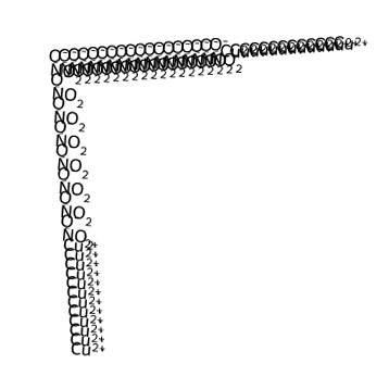 O=[N+]([O-])[O-].O=[N+]([O-])[O-].O=[N+]([O-])[O-].O=[N+]([O-])[O-].O=[N+]([O-])[O-].O=[N+]([O-])[O-].O=[N+]([O-])[O-].O=[N+]([O-])[O-].O=[N+]([O-])[O-].O=[N+]([O-])[O-].O=[N+]([O-])[O-].O=[N+]([O-])[O-].O=[N+]([O-])[O-].O=[N+]([O-])[O-].O=[N+]([O-])[O-].O=[N+]([O-])[O-].O=[N+]([O-])[O-].O=[N+]([O-])[O-].O=[N+]([O-])[O-].O=[N+]([O-])[O-].O=[N+]([O-])[O-].O=[N+]([O-])[O-].O=[N+]([O-])[O-].O=[N+]([O-])[O-].O=[N+]([O-])[O-].[Cu+2].[Cu+2].[Cu+2].[Cu+2].[Cu+2].[Cu+2].[Cu+2].[Cu+2].[Cu+2].[Cu+2].[Cu+2].[Cu+2].[Cu+2].[Cu+2].[Cu+2].[Cu+2].[Cu+2].[Cu+2].[Cu+2].[Cu+2].[Cu+2].[Cu+2].[Cu+2].[Cu+2].[Cu+2]